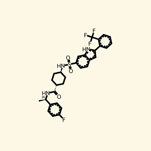 C[C@@H](NC(=O)[C@H]1CC[C@H](NS(=O)(=O)c2ccc3cc(-c4ccccc4C(F)(F)F)[nH]c3c2)CC1)c1ccc(F)cc1